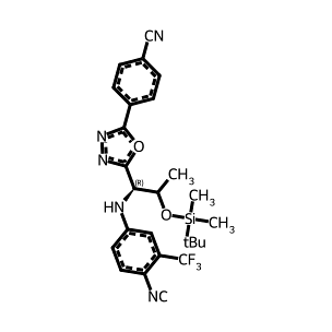 [C-]#[N+]c1ccc(N[C@@H](c2nnc(-c3ccc(C#N)cc3)o2)C(C)O[Si](C)(C)C(C)(C)C)cc1C(F)(F)F